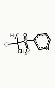 CC(C)(Cl)S(=O)(=O)c1cccnc1